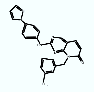 Cc1cccc(Cn2c(=O)ccc3cnc(Nc4ccc(-n5cccn5)cc4)nc32)c1